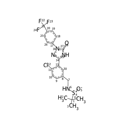 CC(C)(C)[S+]([O-])NCc1ccc(Cl)c(-c2nn(-c3ccc(C(F)(F)F)cc3)c(=O)[nH]2)c1